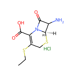 CCSC1=C(C(=O)O)N2C(=O)C(N)[C@H]2SC1.Cl